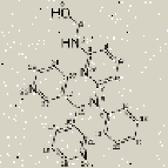 OCNc1cccc(N(c2ccccc2)C(c2cccnc2)c2cccnc2)n1